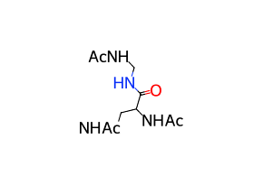 CC(=O)NCNC(=O)C(CNC(C)=O)NC(C)=O